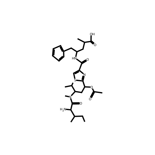 CCC(C)C(N)C(=O)N(C)C(CC(OC(C)=O)c1nc(C(=O)NC(Cc2ccccc2)CC(C)C(=O)O)cs1)C(C)C